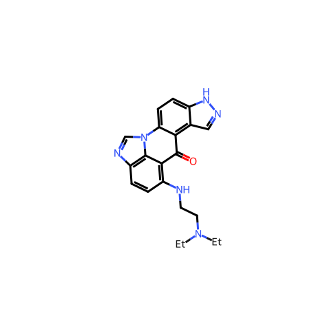 CCN(CC)CCNc1ccc2ncn3c4ccc5[nH]ncc5c4c(=O)c1c23